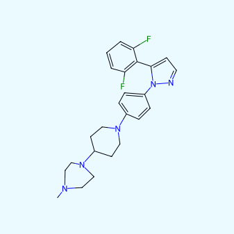 CN1CCN(C2CCN(c3ccc(-n4nccc4-c4c(F)cccc4F)cc3)CC2)CC1